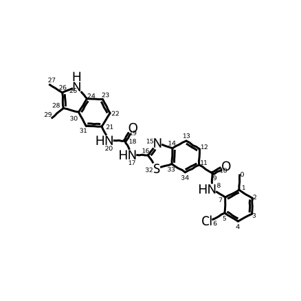 Cc1cccc(Cl)c1NC(=O)c1ccc2nc(NC(=O)Nc3ccc4[nH]c(C)c(C)c4c3)sc2c1